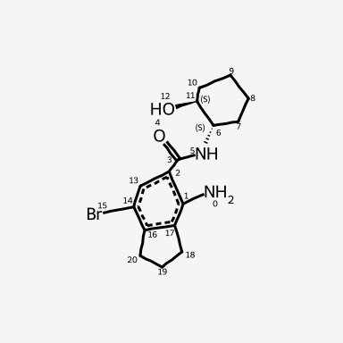 Nc1c(C(=O)N[C@H]2CCCC[C@@H]2O)cc(Br)c2c1CCC2